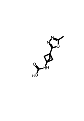 Cc1nnc(C23CC(NC(=O)O)(C2)C3)o1